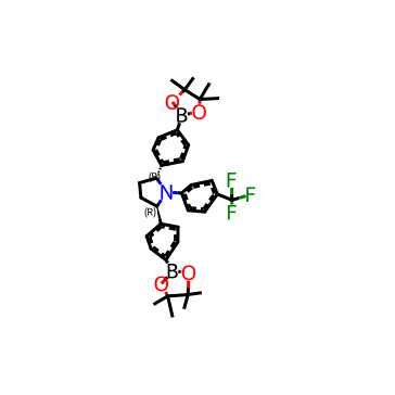 CC1(C)OB(c2ccc([C@H]3CC[C@H](c4ccc(B5OC(C)(C)C(C)(C)O5)cc4)N3c3ccc(C(F)(F)F)cc3)cc2)OC1(C)C